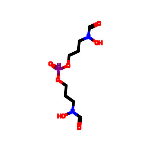 O=CN(O)CCCO[PH](=O)OCCCN(O)C=O